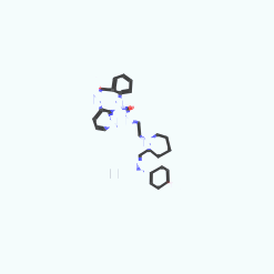 CN(CC1CCCCN1CCNC(=O)N1c2ccccc2C(=O)Nc2cccnc21)[C@H]1CC[C@H](O)CC1